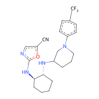 N#Cc1cnc(N[C@@H]2CCCC[C@H]2NC2CCCN(c3ccc(C(F)(F)F)cc3)C2)o1